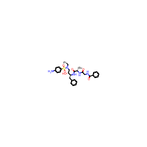 CC(C)CN(C[C@@H](O)[C@H](Cc1ccccc1)NC(=O)[C@@H](NC(=O)CNC(=O)c1ccccc1)C(C)(C)C)S(=O)(=O)c1ccc(N)cc1